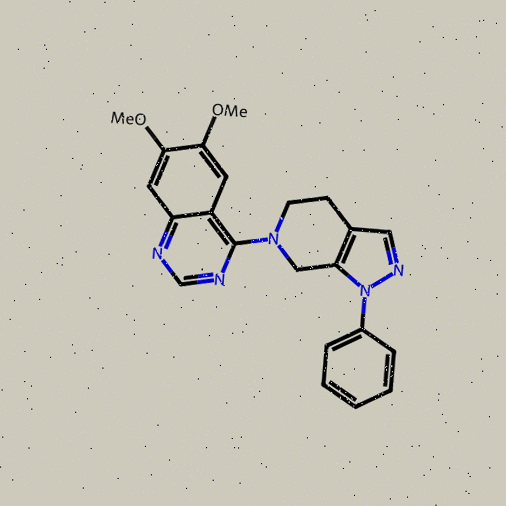 COc1cc2ncnc(N3CCc4cnn(-c5ccccc5)c4C3)c2cc1OC